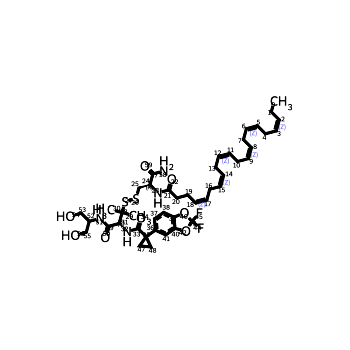 CC/C=C\C/C=C\C/C=C\C/C=C\C/C=C\C/C=C\CCC(=O)N[C@@H](CSSC(C)(C)[C@H](NC(=O)C1(c2ccc3c(c2)OC(F)(F)O3)CC1)C(=O)NC(CO)CO)C(N)=O